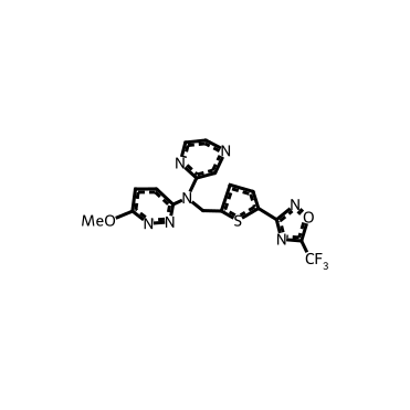 COc1ccc(N(Cc2ccc(-c3noc(C(F)(F)F)n3)s2)c2cnccn2)nn1